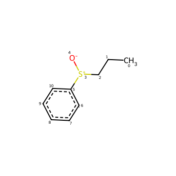 CCC[S+]([O-])c1[c]cccc1